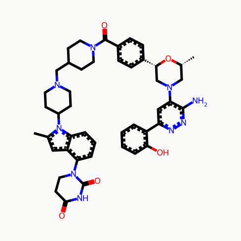 Cc1cc2c(N3CCC(=O)NC3=O)cccc2n1C1CCN(CC2CCN(C(=O)c3ccc([C@H]4CN(c5cc(-c6ccccc6O)nnc5N)C[C@@H](C)O4)cc3)CC2)CC1